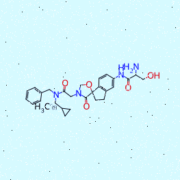 C[C@@H](C1CC1)N(Cc1ccccc1)C(=O)CN1COC2(CCc3cc(NC(=O)C(N)CO)ccc32)C1=O